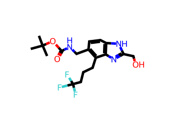 CC(C)(C)OC(=O)NCc1ccc2[nH]c(CO)nc2c1CCCC(F)(F)F